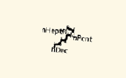 CCCCCCCCCCCCCCC1N(CCCCC)C=CN1CCCCCCC